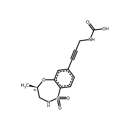 C[C@@H]1CNS(=O)(=O)c2ccc(C#CCNC(=O)O)cc2O1